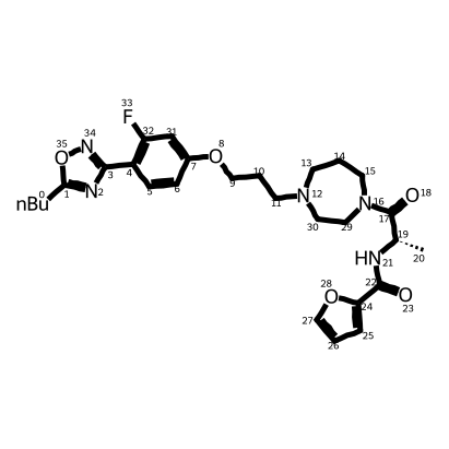 CCCCc1nc(-c2ccc(OCCCN3CCCN(C(=O)[C@H](C)NC(=O)c4ccco4)CC3)cc2F)no1